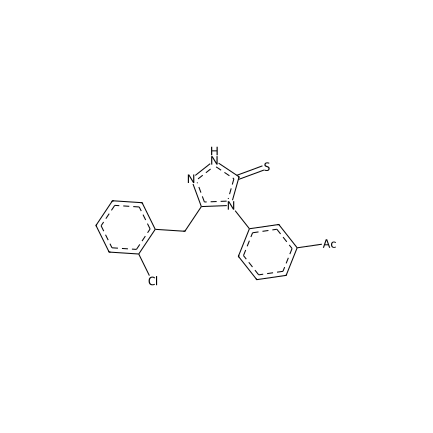 CC(=O)c1cccc(-n2c(Cc3ccccc3Cl)n[nH]c2=S)c1